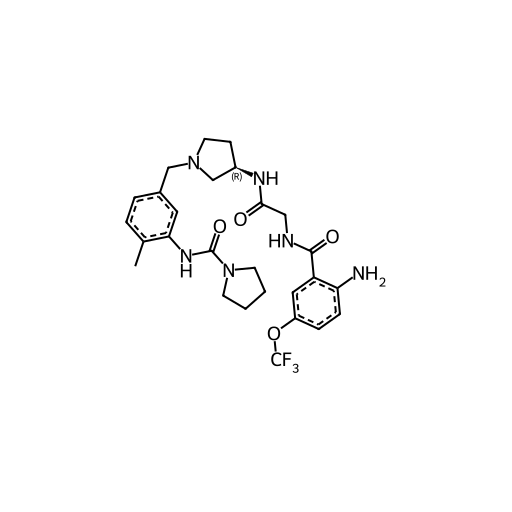 Cc1ccc(CN2CC[C@@H](NC(=O)CNC(=O)c3cc(OC(F)(F)F)ccc3N)C2)cc1NC(=O)N1CCCC1